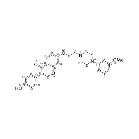 COc1cccc(N2CCN(CCOc3ccc4c(=O)c(-c5ccc(O)cc5)coc4c3)CC2)c1